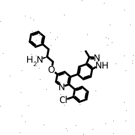 Cc1n[nH]c2ccc(-c3cc(OC[C@@H](N)Cc4ccccc4)cnc3-c3ccccc3Cl)cc12